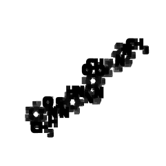 COc1cc2c(Nc3ccc4nc(NC(=O)c5cccc(C)c5)sc4c3)ncnc2cc1OCCCN1CCN(C)CC1